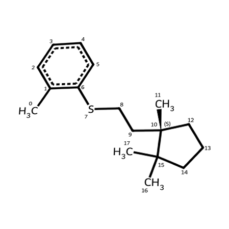 Cc1ccccc1SCC[C@]1(C)CCCC1(C)C